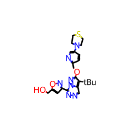 CC(C)(C)c1c(OCc2ccc(N3CCSCC3)cn2)nn2c(-c3cc(CO)on3)nncc12